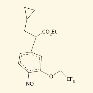 CCOC(=O)C(CC1CC1)c1ccc(N=O)c(OCC(F)(F)F)c1